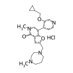 CN1CCCN(Cc2cc3c(=O)n(C)cc(-c4ccncc4OCC4CC4)c3o2)CC1.Cl